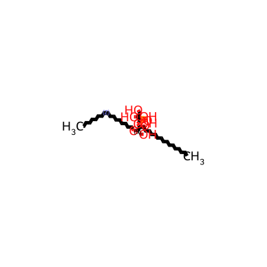 CCCCCCCC/C=C\CCCCCCCCO[C@@H](CO)C(OC(C(O)CO)P(=O)(O)O)C(=O)CCCCCCCCCCCCCCC